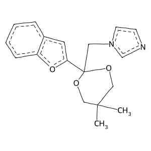 CC1(C)COC(Cn2ccnc2)(c2cc3ccccc3o2)OC1